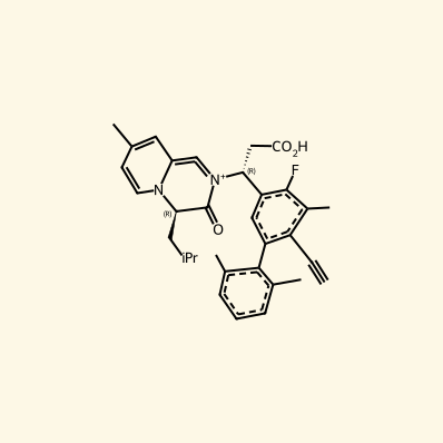 C#Cc1c(-c2c(C)cccc2C)cc([C@@H](CC(=O)O)[N+]2=C=C3C=C(C)C=CN3[C@H](CC(C)C)C2=O)c(F)c1C